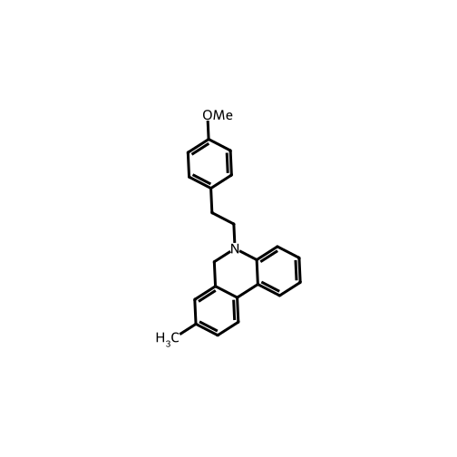 COc1ccc(CCN2Cc3cc(C)ccc3-c3ccccc32)cc1